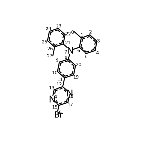 Cc1ccccc1N(c1ccc(-c2cnc(Br)cn2)cc1)c1ccccc1C